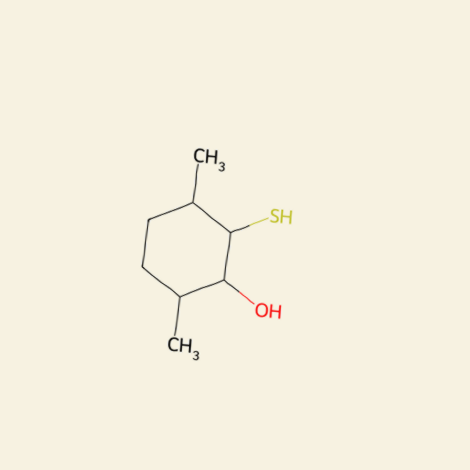 CC1CCC(C)C(S)C1O